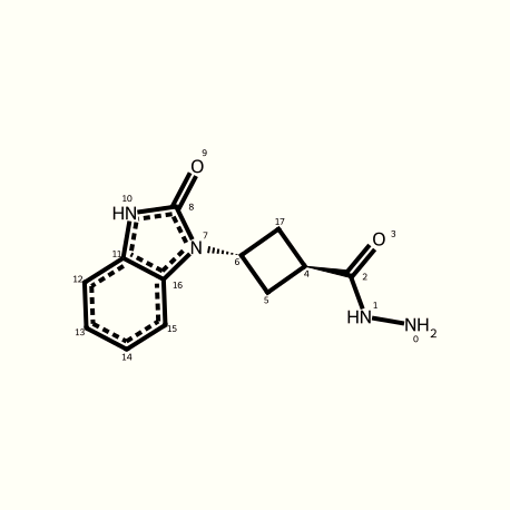 NNC(=O)[C@H]1C[C@H](n2c(=O)[nH]c3ccccc32)C1